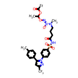 CCC(=O)OC(C)O/N=[N+](\[O-])N(C)CCCC(=O)NS(=O)(=O)c1ccc(-n2nc(C(F)(F)F)cc2-c2ccc(C)cc2)cc1